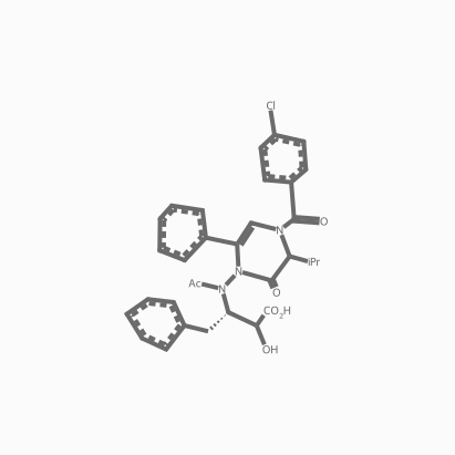 CC(=O)N([C@@H](Cc1ccccc1)C(O)C(=O)O)N1C(=O)C(C(C)C)N(C(=O)c2ccc(Cl)cc2)C=C1c1ccccc1